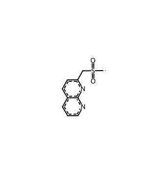 [CH2]S(=O)(=O)Cc1ccc2cccnc2n1